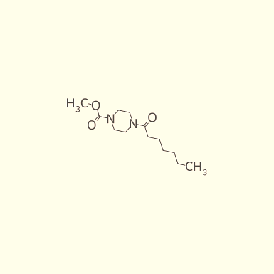 CCCCCCC(=O)N1CCN(C(=O)OC)CC1